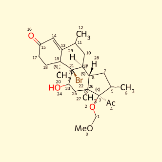 COCO[C@]1(C(C)=O)C(C)C[C@H]2[C@@H]3CC(C)C4=CC(=O)CC[C@]4(C)[C@@]3(Br)C(O)C[C@@]21C